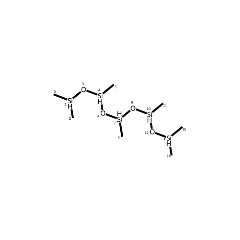 C[SiH](C)O[SiH](C)O[SiH](C)O[SiH](C)O[SiH](C)C